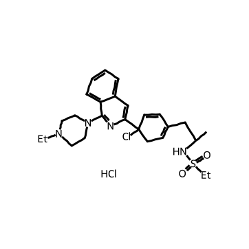 CCN1CCN(c2nc(C3(Cl)C=CC(CC(C)NS(=O)(=O)CC)=CC3)cc3ccccc23)CC1.Cl